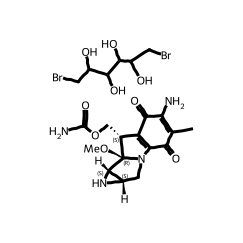 CO[C@@]12[C@H](COC(N)=O)C3=C(C(=O)C(C)=C(N)C3=O)N1C[C@@H]1N[C@@H]12.OC(CBr)C(O)C(O)C(O)CBr